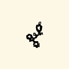 O=C(Cn1c(-c2cncs2)nc2c1=CCCC=2)Nc1ccc(Cl)cc1